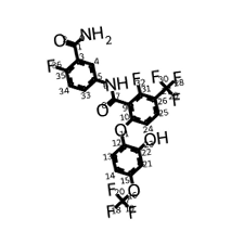 NC(=O)c1cc(NC(=O)c2c(Oc3ccc(OC(F)(F)F)cc3O)ccc(C(F)(F)F)c2F)ccc1F